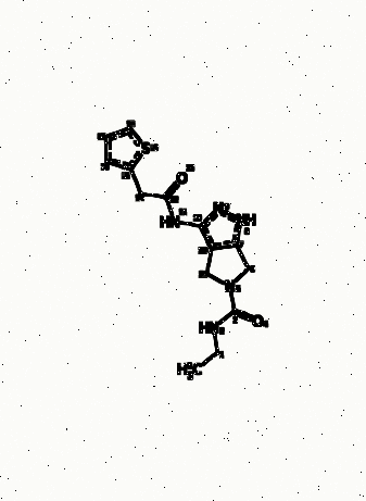 CCNC(=O)N1Cc2[nH]nc(NC(=O)Cc3cccs3)c2C1